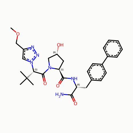 COCc1cn([C@H](C(=O)N2C[C@H](O)C[C@H]2C(=O)N[C@H](Cc2ccc(-c3ccccc3)cc2)C(N)=O)C(C)(C)C)nn1